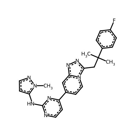 Cn1nccc1Nc1nccc(-c2ccn3c(CC(C)(C)c4ccc(F)cc4)nnc3c2)n1